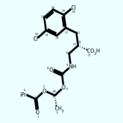 CC(C)C(=O)O[C@@H](C)OC(=O)NC[C@H](Cc1cc(Cl)ccc1Cl)C(=O)O